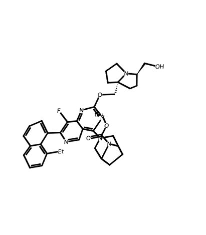 CCc1cccc2cccc(-c3ncc4c(N5CC6CCC(C5)N6C(=O)OC(C)(C)C)nc(OC[C@]56CCCN5[C@@H](CO)CC6)nc4c3F)c12